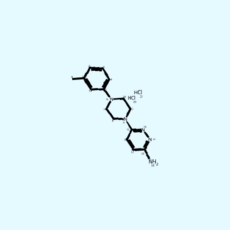 Cc1cccc(N2CCN(c3ccc(N)nn3)CC2)c1.Cl.Cl